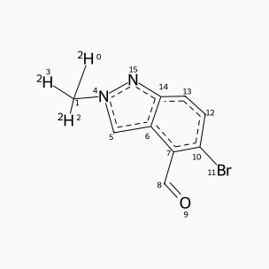 [2H]C([2H])([2H])n1cc2c(C=O)c(Br)ccc2n1